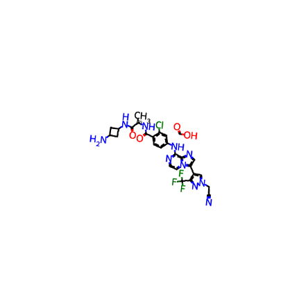 C[C@@H](NC(=O)c1ccc(Nc2nccn3c(-c4cn(CC#N)nc4C(F)(F)F)cnc23)cc1Cl)C(=O)NC1CC(N)C1.O=CO